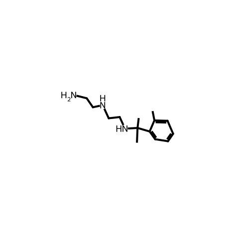 Cc1ccccc1C(C)(C)NCCNCCN